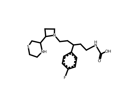 O=C(O)NCCC(CCN1CCC1C1CSCCN1)c1ccc(F)cc1